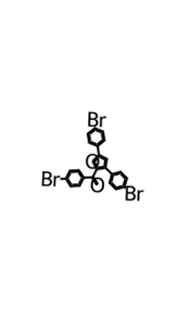 O=C(c1ccc(Br)cc1)c1oc(-c2ccc(Br)cc2)cc1-c1ccc(Br)cc1